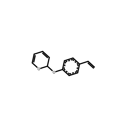 C=Cc1ccc(OC2C=CC=CO2)cc1